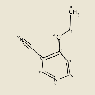 CCOc1ccncc1C#N